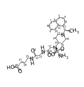 C[C@H](c1cccc2ccccc12)N1CCC(N(CC(=O)NCC(=O)NC/C=C/C(=O)O)S(N)(=O)=O)CC1